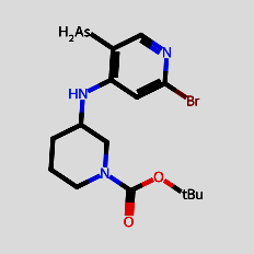 CC(C)(C)OC(=O)N1CCCC(Nc2cc(Br)ncc2[AsH2])C1